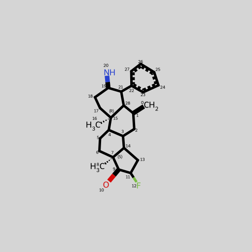 C=C1CC2C(CC[C@]3(C)C(=O)C(F)CC23)[C@@]2(C)CCC(=N)C(c3ccccc3)C12